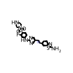 Nc1nc2ccc(/C=C/c3cnc(Nc4ccc(S(=O)(=O)N5CCNCC5)c(F)c4)nc3)cc2s1